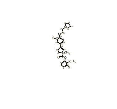 Cc1c(F)cccc1OC(=O)[C@]1(C)C=C(c2cnc(OCCN3CCCC3)c(F)c2)CC1